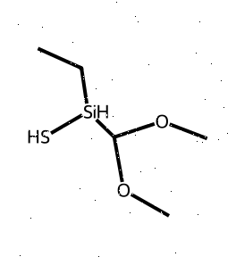 CC[SiH](S)C(OC)OC